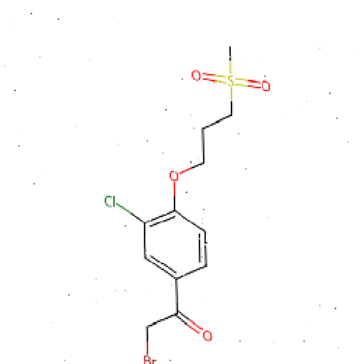 CS(=O)(=O)CCCOc1ccc(C(=O)CBr)cc1Cl